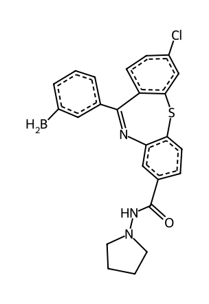 Bc1cccc(C2=Nc3cc(C(=O)NN4CCCC4)ccc3Sc3cc(Cl)ccc32)c1